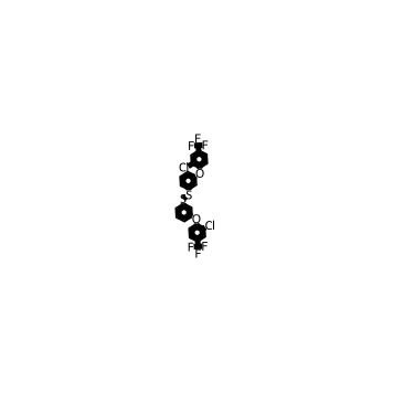 FC(F)(F)c1ccc(Oc2cccc(SSc3cccc(Oc4ccc(C(F)(F)F)cc4Cl)c3)c2)c(Cl)c1